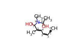 C#C/C=C\C=C(/C)C(O)N(C)C(C)O